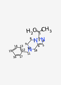 C=C(C)c1ncc2n1CCN(Cc1ccccc1)C2